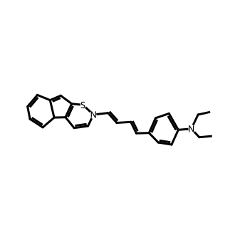 CCN(CC)c1ccc(C=CC=CN2C=CC3=C(C=C4C=CC=CC43)S2)cc1